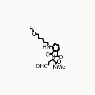 CNC(=O)C(CCC=O)N1C(=O)c2cccc(NCCCCCOSI)c2C1=O